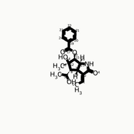 C/C=C1/C(=O)N[C@H]2[C@H]1[C@H](C(C)O)[C@@](C)(O)[C@H]2OC(=O)c1ccccc1